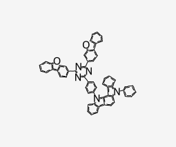 c1ccc(-n2c3ccccc3c3c2ccc2c4ccccc4n(-c4ccc(-c5nc(-c6ccc7c(c6)oc6ccccc67)nc(-c6ccc7c(c6)oc6ccccc67)n5)cc4)c23)cc1